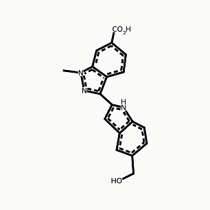 Cn1nc(-c2cc3cc(CO)ccc3[nH]2)c2ccc(C(=O)O)cc21